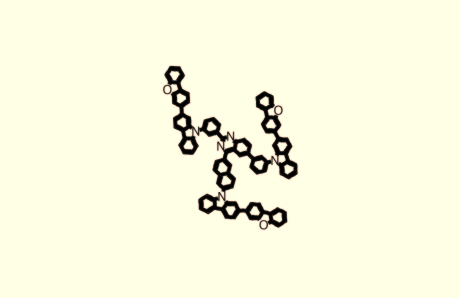 c1cc(-c2ccc3nc(-c4cccc(-n5c6ccccc6c6ccc(-c7ccc8c(c7)oc7ccccc78)cc65)c4)nc(-c4ccc5cc(-n6c7ccccc7c7ccc(-c8ccc9c(c8)oc8ccccc89)cc76)ccc5c4)c3c2)cc(-n2c3ccccc3c3ccc(-c4ccc5c(c4)oc4ccccc45)cc32)c1